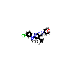 O=C(O)CN(c1cccc(Cl)c1)c1cc(C2CC2)c(CNC2CCOCC2)cn1